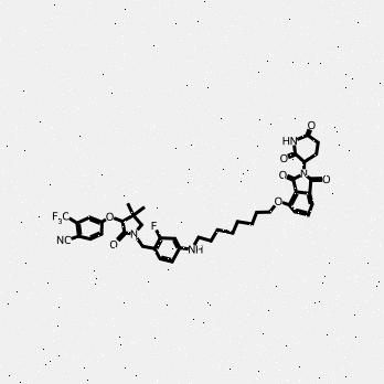 CC1(C)CN(Cc2ccc(NCCCCCCCCOc3cccc4c3C(=O)N(C3CCC(=O)NC3=O)C4=O)cc2F)C(=O)C1Oc1ccc(C#N)c(C(F)(F)F)c1